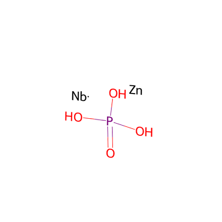 O=P(O)(O)O.[Nb].[Zn]